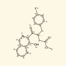 COC(=O)CN(Cc1ccc(F)cc1)C(=O)c1ncc2cccnc2c1O